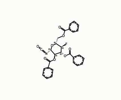 O=C=N[C@@H]1O[C@H](COC(=O)c2ccccc2)[C@@H](F)[C@H](OC(=O)c2ccccc2)[C@H]1OC(=O)c1ccccc1